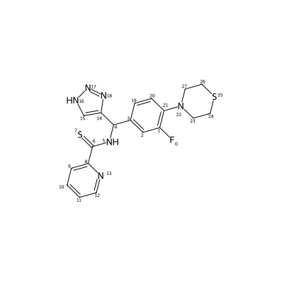 Fc1cc(C(NC(=S)c2ccccn2)c2c[nH]nn2)ccc1N1CCSCC1